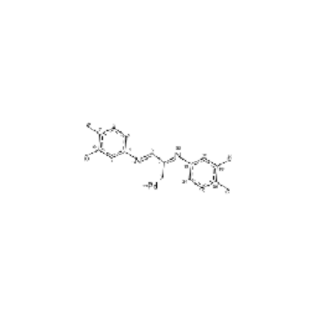 CC(/C=N/c1ccc(C)c(C)c1)=N\c1ccc(C)c(C)c1.[Pd]